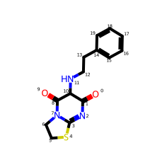 O=C1N=C2SCCN2C(=O)C1NCCc1ccccc1